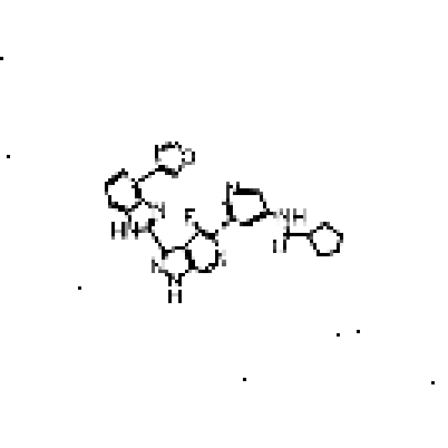 O=C(Nc1cncc(-c2ncc3[nH]nc(-c4nc5c(-c6ccoc6)cccc5[nH]4)c3c2F)c1)C1CCCC1